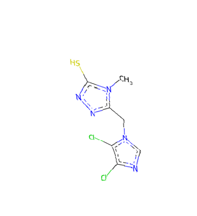 Cn1c(S)nnc1Cn1cnc(Cl)c1Cl